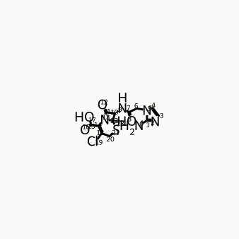 Nc1nccn1CC(=O)N[C@@H]1C(=O)N2C(C(=O)O)=C(Cl)CS[C@@H]12